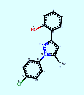 CC(=O)Oc1cc(-c2ccccc2O)nn1-c1ccc(Cl)cc1